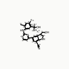 BC(B)(O)c1cc(Nc2nccc(-c3cc(C#N)c4c(c3)[C@@](C)(CO)CN4)n2)c(C)cc1F